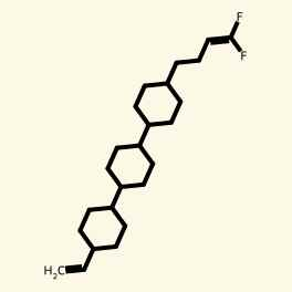 C=CC1CCC(C2CCC(C3CCC(CCC=C(F)F)CC3)CC2)CC1